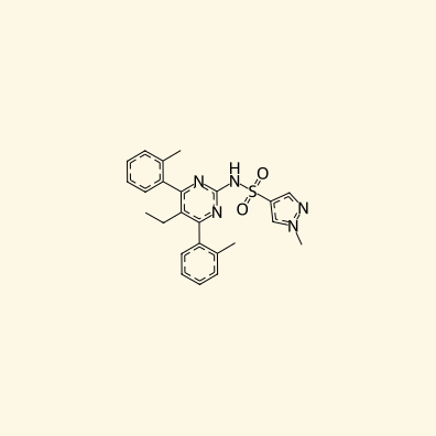 CCc1c(-c2ccccc2C)nc(NS(=O)(=O)c2cnn(C)c2)nc1-c1ccccc1C